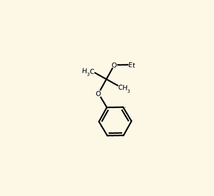 CCOC(C)(C)Oc1[c]cccc1